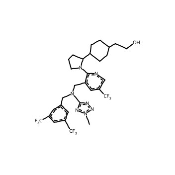 Cn1nnc(N(Cc2cc(C(F)(F)F)cc(C(F)(F)F)c2)Cc2cc(C(F)(F)F)cnc2N2CCCC2C2CCC(CCO)CC2)n1